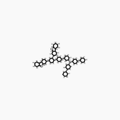 c1ccc(-c2ccc(N(c3ccc(-c4ccccc4)cc3)c3cccc(-c4ccc(-c5ccc(-c6ccc7c(c6)oc6ccccc67)cc5-c5ccc6c(c5)oc5ccccc56)cc4)c3)cc2)cc1